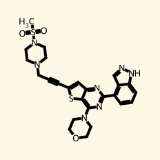 CS(=O)(=O)N1CCN(CC#Cc2cc3nc(-c4cccc5[nH]ncc45)nc(N4CCOCC4)c3s2)CC1